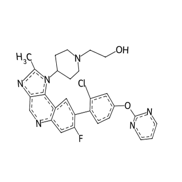 Cc1nc2cnc3cc(F)c(-c4ccc(Oc5ncccn5)cc4Cl)cc3c2n1C1CCN(CCO)CC1